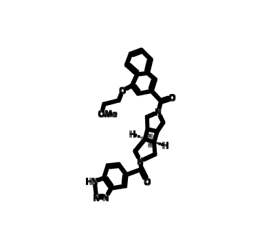 COCCOc1cc(C(=O)N2CC3C(C2)[C@@H]2CN(C(=O)c4ccc5[nH]nnc5c4)C[C@H]32)cc2ccccc12